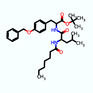 CCCCCCC(=O)NC(CC(C)C)C(=O)NC(Cc1ccc(OCc2ccccc2)cc1)C(=O)OC(C)(C)C